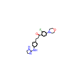 O=C(CCc1ccc(NC2=NCCN2)cc1)c1ccc(N2CCOCC2)cc1F